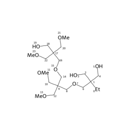 CCC(CO)(CO)COCC(COC)(COC)COCC(CO)(COC)COC